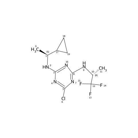 C[C@H](Nc1nc(Cl)nc(N[C@H](C)C(F)(F)F)n1)C1CC1